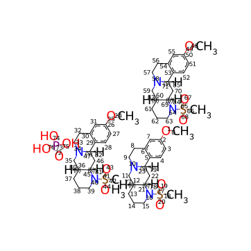 COc1ccc2c(c1)CCN1C[C@H]3CCCN(S(C)(=O)=O)[C@H]3C[C@@H]21.COc1ccc2c(c1)CCN1C[C@H]3CCCN(S(C)(=O)=O)[C@H]3C[C@@H]21.COc1ccc2c(c1)CCN1C[C@H]3CCCN(S(C)(=O)=O)[C@H]3C[C@@H]21.O=P(O)(O)O